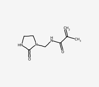 C=C(C)C(=O)NCN1CCNC1=O